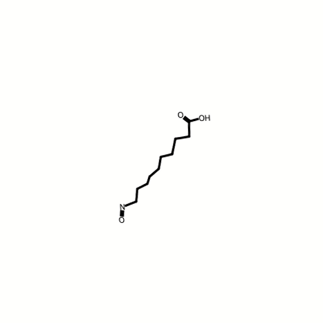 O=NCCCCCCCCCC(=O)O